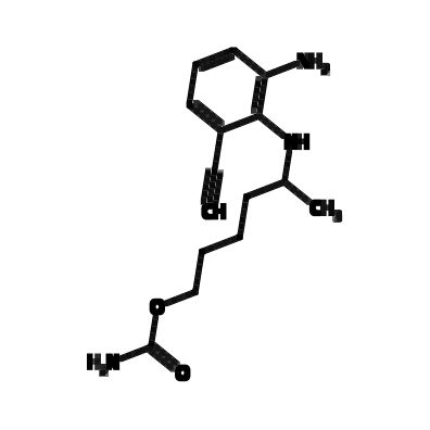 C#Cc1cccc(N)c1NC(C)CCCCOC(N)=O